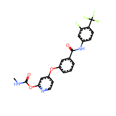 CNC(=O)Oc1cc(Oc2cccc(C(=O)Nc3ccc(C(F)(F)F)c(F)c3)c2)ccn1